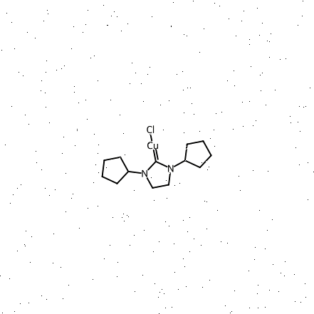 [Cl][Cu]=[C]1N(C2CCCC2)CCN1C1CCCC1